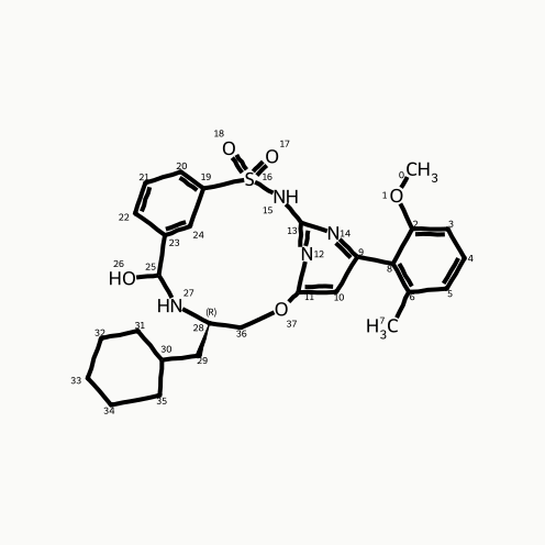 COc1cccc(C)c1-c1cc2nc(n1)NS(=O)(=O)c1cccc(c1)C(O)N[C@H](CC1CCCCC1)CO2